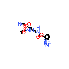 CC(C)(C)OC(=O)NC(CCCCNC(=O)OCc1ccccc1N=[N+]=[N-])C(=O)OCC#N